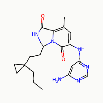 CCCC1(CCC2NC(=O)c3c(C)cc(Nc4cc(N)ncn4)c(=O)n32)CC1